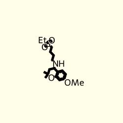 CCS(=O)(=O)CCCCNC1CC(C)(C)Oc2cc(OC)ccc21